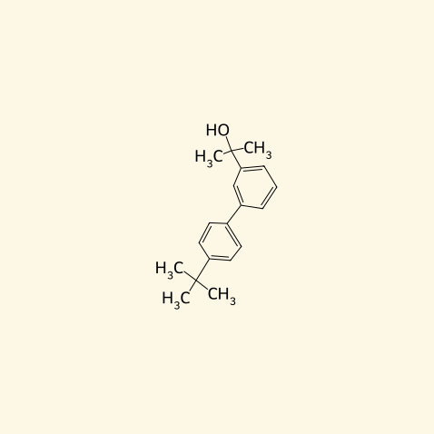 CC(C)(C)c1ccc(-c2cccc(C(C)(C)O)c2)cc1